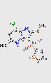 CSc1nn2c(Cl)cc(C)nc2c1S(=O)(=O)c1cccs1